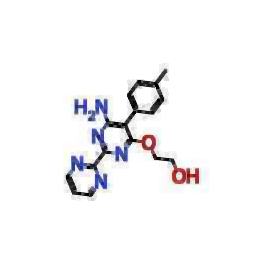 Cc1ccc(-c2c(N)nc(-c3ncccn3)nc2OCCO)cc1